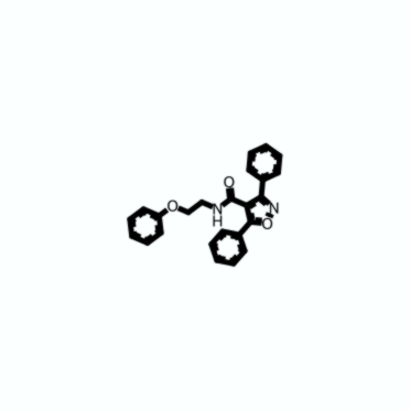 O=C(NCCOc1ccccc1)c1c(-c2ccccc2)noc1-c1ccccc1